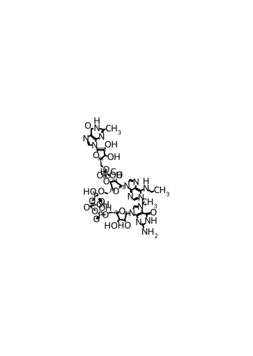 CCNc1ncnc2c1ncn2[C@@H]1O[C@H](COP(=O)(O)OP(=O)(O)OP(=O)(O)OC[C@H]2O[C@@H](n3c[n+](C)c4c(=O)[nH]c(N)nc43)C(O)C2O)C(OP(=O)(O)OC[C@H]2O[C@@H](n3cnc4c(=O)[nH]c(C)nc43)[C@@H](O)C2O)[C@@H]1OC